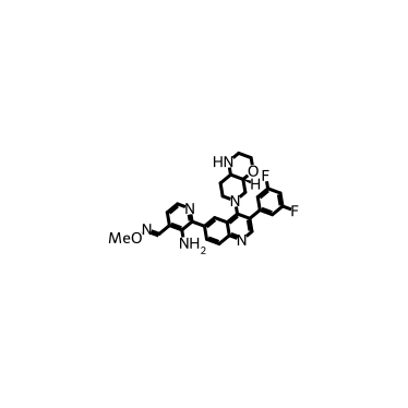 CON=Cc1ccnc(-c2ccc3ncc(-c4cc(F)cc(F)c4)c(N4CCC5NCCO[C@@H]5C4)c3c2)c1N